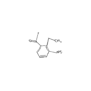 CCc1c(N)cccc1C(=O)F